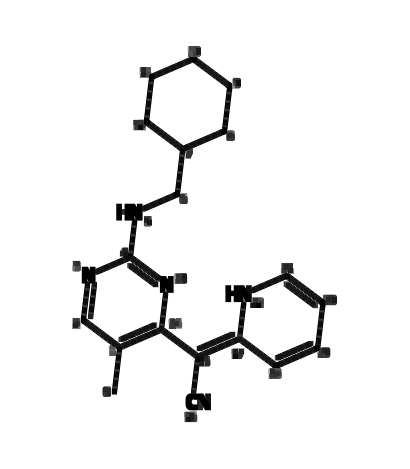 Cc1cnc(NCC2CCCCC2)nc1/C(C#N)=C1/C=CC=CN1